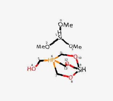 CO[SiH](OC)OC.OC[PH]12CO[SiH](OC1)OC2